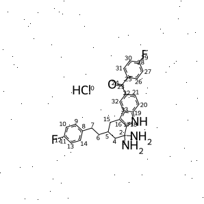 Cl.NC1(N)CC(CCc2ccc(F)cc2)Cc2c1[nH]c1ccc(C(=O)c3ccc(F)cc3)cc21